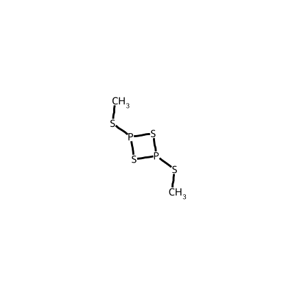 CSP1SP(SC)S1